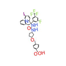 O=C(NC1CCC(OCc2ccc(C(=O)O)cc2)C1)N[C@@](Cc1ccccc1)(c1cc(F)cc(C(F)(F)F)c1)c1ccc(I)cn1